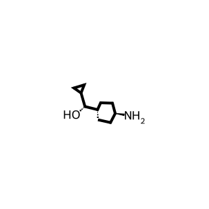 N[C@H]1CC[C@H]([C@H](O)C2CC2)CC1